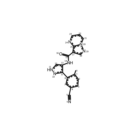 Cc1ccc(C#N)cc1-c1n[nH]cc1NC(=O)c1cnn2cccnc12